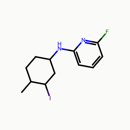 CC1CCC(Nc2cccc(F)n2)CC1I